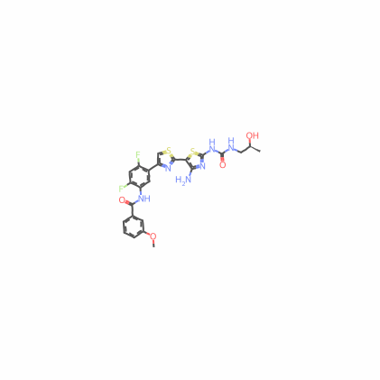 COc1cccc(C(=O)Nc2cc(-c3csc(-c4sc(NC(=O)NC[C@H](C)O)nc4N)n3)c(F)cc2F)c1